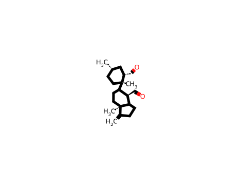 C=C1CCC2[C@H](C=O)C([C@@]3(C)CC[C@H](C)C[C@@H]3C=O)CC[C@]12C